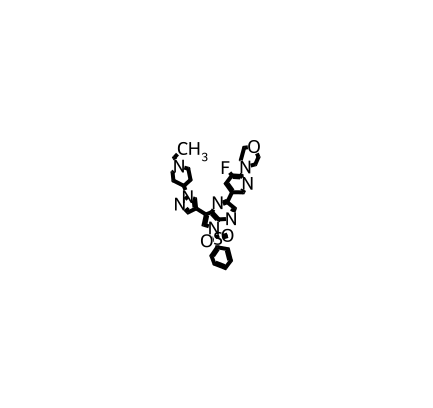 CCN1CCC(n2cc(-c3cn(S(=O)(=O)c4ccccc4)c4ncc(-c5cnc(N6CCOCC6)c(F)c5)nc34)cn2)CC1